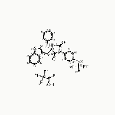 O=C(O)C(F)(F)F.O=C1N[C@](Cc2ccncc2)(Cc2csc3ccccc23)C(=O)N1c1ccc(SC(F)(F)F)cc1